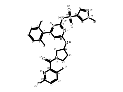 Cc1cccc(C)c1-c1cc(OC2CCN(C(=O)c3nc(F)ccc3F)C2)nc(NS(=O)(=O)c2cnn(C)c2)n1